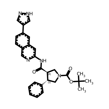 CC(C)(C)OC(=O)N1C[C@H](C(=O)Nc2cc3cc(-c4cn[nH]c4)ccc3cn2)[C@@H](c2ccccc2)C1